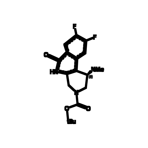 CN[C@H]1CN(C(=O)OC(C)(C)C)Cc2[nH]c(=O)c3cc(F)c(F)cc3c21